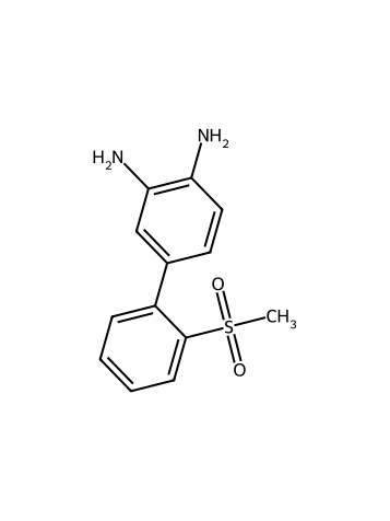 CS(=O)(=O)c1ccccc1-c1ccc(N)c(N)c1